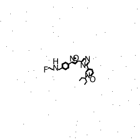 CCC(CC)n1cc(-c2cncc(-c3cc(-c4ccc(CNCCF)cc4)no3)n2)ccc1=O